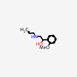 C=CCNCC(O)c1ccccc1OC